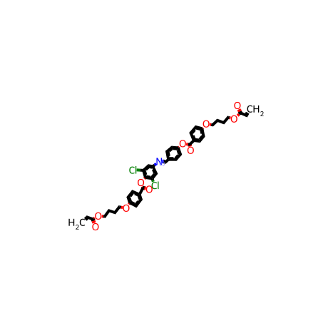 C=CC(=O)OCCCCOc1ccc(C(=O)Oc2ccc(/C=N/c3cc(Cl)c(OC(=O)c4ccc(OCCCCOC(=O)C=C)cc4)c(Cl)c3)cc2)cc1